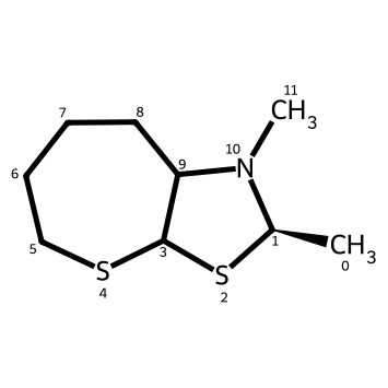 C[C@H]1SC2SCCCCC2N1C